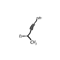 CC[CH]C#CC(C)CC